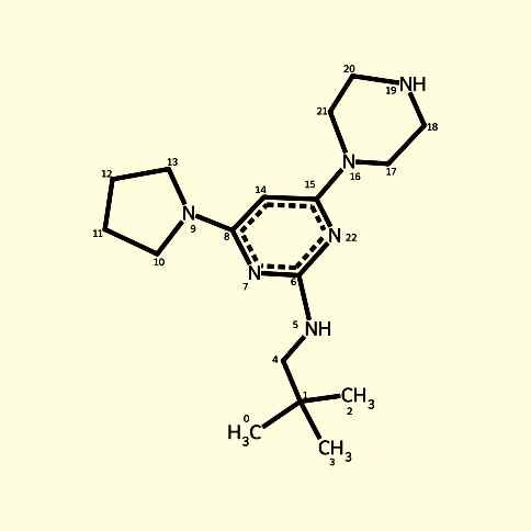 CC(C)(C)CNc1nc(N2CCCC2)cc(N2CCNCC2)n1